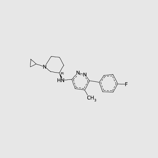 Cc1cc(N[C@@H]2CCCN(C3CC3)C2)nnc1-c1ccc(F)cc1